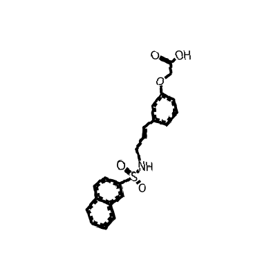 O=C(O)COc1cccc(C=CCNS(=O)(=O)c2ccc3ccccc3c2)c1